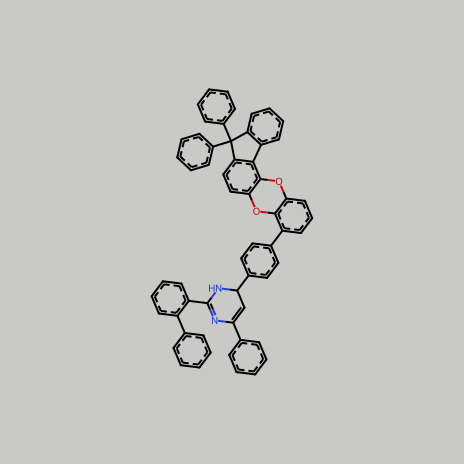 C1=C(c2ccccc2)N=C(c2ccccc2-c2ccccc2)NC1c1ccc(-c2cccc3c2Oc2ccc4c(c2O3)-c2ccccc2C4(c2ccccc2)c2ccccc2)cc1